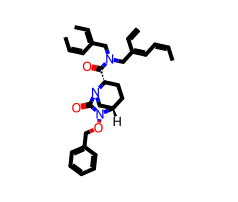 C=C/C(=C\C=C/C)CN(CC(/C=C\C)=C/C)C(=O)[C@@H]1CC[C@H]2CN1C(=O)N2OCc1ccccc1